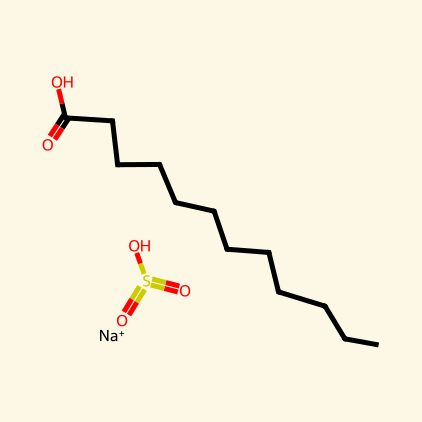 CCCCCCCCCCCC(=O)O.O=[S-](=O)O.[Na+]